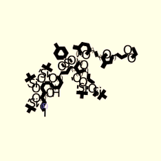 C=C1C[C@H](CCC2OCCO2)O[C@H]1CC[C@H]1CCC(=C)[C@@H](C[C@@H]2O[C@H](CC(CO[Si](C)(C)C(C)(C)C)O[Si](C)(C)C(C)(C)C)[C@@H](OC)[C@H]2C(CC[C@H]2CC[C@@H]3O[C@H]([C@H](/C=C/I)O[Si](C)(C)C(C)(C)C)C(O[Si](C)(C)C(C)(C)C)C(O[Si](C)(C)C(C)(C)C)C3O2)S(=O)(=O)c2ccc(C)cc2)O1